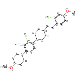 CCCCOC1CCC(c2ccc(C3CCC(CCc4ccc(OCC)cc4F)CC3)c(F)c2F)CC1